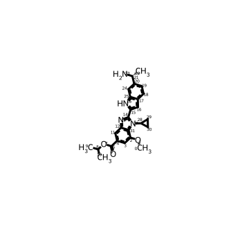 COc1cc(C(=O)OC(C)C)cc2nc(-c3cc4ccc([C@@H](C)N)cc4[nH]3)n(C3CC3)c12